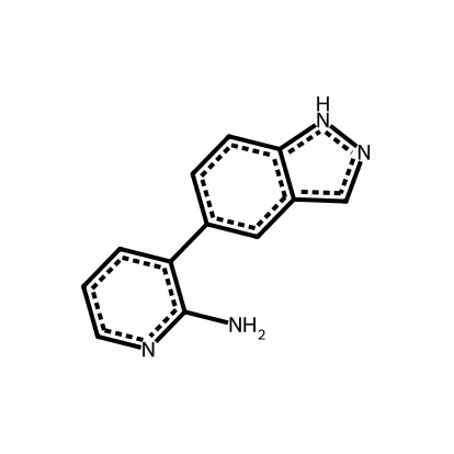 Nc1ncccc1-c1ccc2[nH]ncc2c1